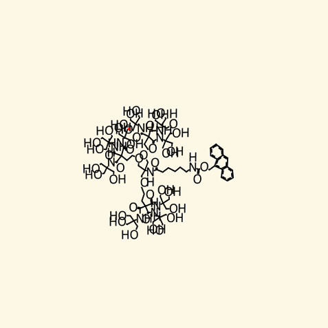 O=C(CCCCCNC(=O)OCc1c2ccccc2cc2ccccc12)NC(COCCCC(C(=O)NC(CO)(CO)CO)(C(=O)NC(CO)(CO)CO)C(=O)NC(CO)(CO)CO)(COCCC(C(=O)NC(CO)(CO)CO)(C(=O)NC(CO)(CO)CO)C(=O)NC(CO)(CO)CO)COCCC(C(=O)NC(CO)(CO)CO)(C(=O)NC(CO)(CO)CO)C(=O)NC(CO)(CO)CO